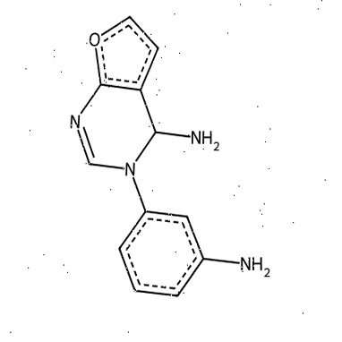 Nc1cccc(N2C=Nc3occc3C2N)c1